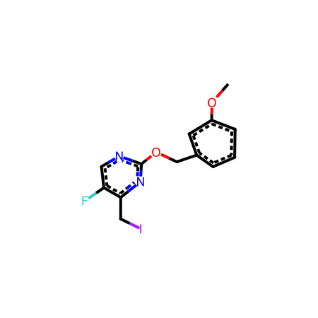 COc1cccc(COc2ncc(F)c(CI)n2)c1